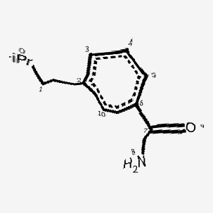 C[C](C)Cc1cccc(C(N)=O)c1